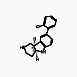 Clc1ccccc1-c1ccc2c(c1)[C@@H]1CNCC[C@@H]1N2